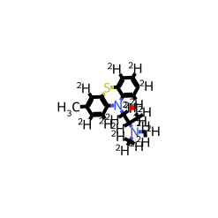 [2H]c1c([2H])c([2H])c2c(c1[2H])Sc1c([2H])c(C)c([2H])c([2H])c1N2C([2H])([2H])C([2H])(N(C([2H])([2H])[2H])C([2H])([2H])[2H])C([2H])([2H])[2H]